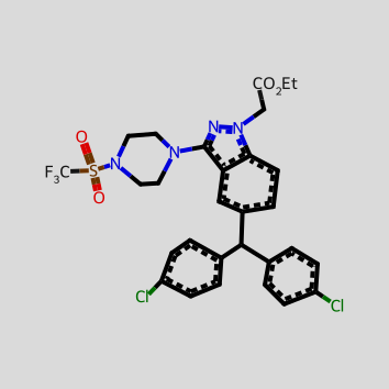 CCOC(=O)Cn1nc(N2CCN(S(=O)(=O)C(F)(F)F)CC2)c2cc(C(c3ccc(Cl)cc3)c3ccc(Cl)cc3)ccc21